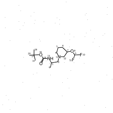 CC(CN1CCCC(OC(F)F)C1)NC(=O)OC(C)(C)C